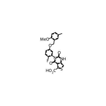 COc1ccc(C)cc1COc1ccc(F)c(-n2c(=O)[nH]c3csc(C(=O)O)c3c2=O)c1